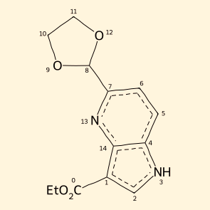 CCOC(=O)c1c[nH]c2ccc(C3OCCO3)nc12